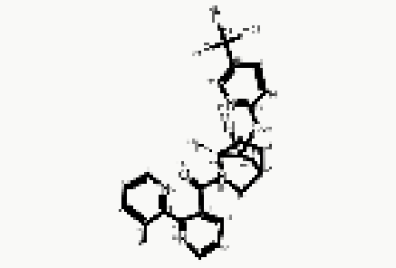 Cc1cccnc1-c1ncccc1C(=O)N1CC2CC[C@H]1[C@H](Oc1ccc(C(F)(F)F)cn1)C2